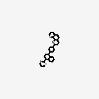 c1cnc(-c2ccc(-c3ccc(-c4ccc5ccc6cccnc6c5n4)cc3)c3ccccc23)nc1